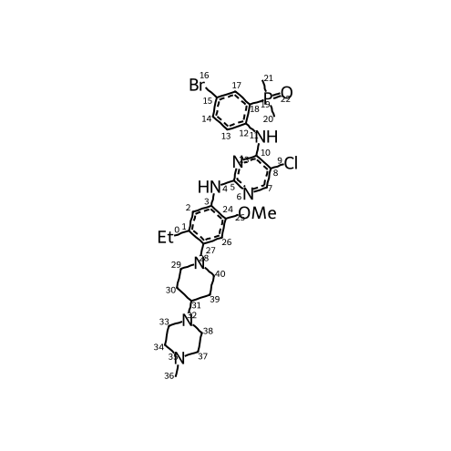 CCc1cc(Nc2ncc(Cl)c(Nc3ccc(Br)cc3P(C)(C)=O)n2)c(OC)cc1N1CCC(N2CCN(C)CC2)CC1